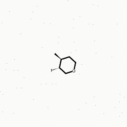 C[C@H]1CCOC[C@@H]1I